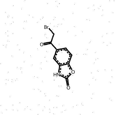 O=C(CBr)c1ccc2oc(=O)[nH]c2c1